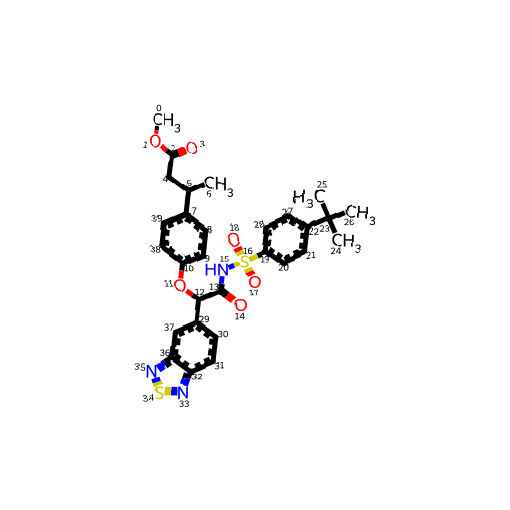 COC(=O)CC(C)c1ccc(OC(C(=O)NS(=O)(=O)c2ccc(C(C)(C)C)cc2)c2ccc3nsnc3c2)cc1